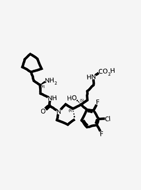 N[C@@H](CNC(=O)N1CCC[C@@H]([C@@](O)(CCCNC(=O)O)c2ccc(F)c(Cl)c2F)C1)CC1CCCCC1